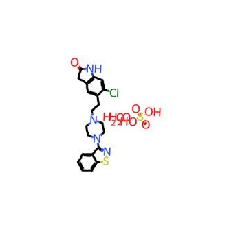 O.O.O=C1Cc2cc(CCN3CCN(c4nsc5ccccc45)CC3)c(Cl)cc2N1.O=S(=O)(O)O